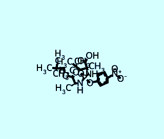 C[C@H](NP(=O)(N[C@@](C)(CC(C)(C)C)C(=O)O)Oc1ccc([N+](=O)[O-])cc1)C(=O)OCC(C)(C)C